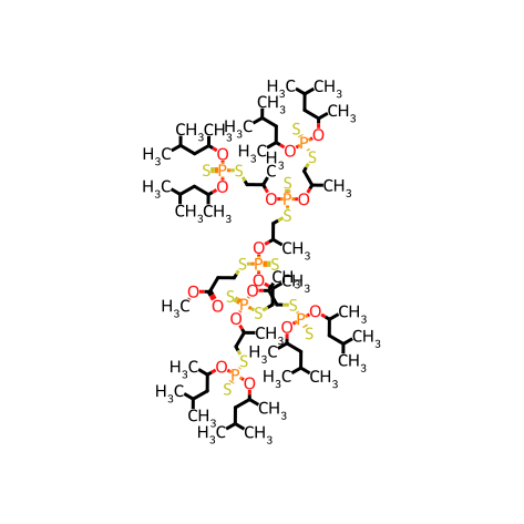 COC(=O)CCSP(=S)(OC(C)CSP(=S)(OC(C)CSP(=S)(OC(C)CC(C)C)OC(C)CC(C)C)OC(C)CSP(=S)(OC(C)CC(C)C)OC(C)CC(C)C)OC(C)CSP(=S)(OC(C)CSP(=S)(OC(C)CC(C)C)OC(C)CC(C)C)OC(C)CSP(=S)(OC(C)CC(C)C)OC(C)CC(C)C